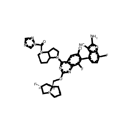 N#Cc1c(N)sc2c(F)ccc(-c3c(Cl)cc4c(N5CCC6C5CCCN6C(=O)n5cncn5)nc(OC[C@@]56CCCN5C[C@H](F)C6)nc4c3F)c12